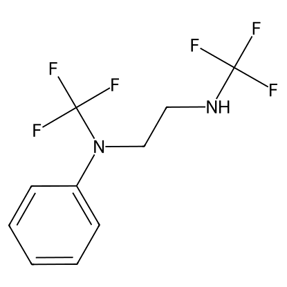 FC(F)(F)NCCN(c1ccccc1)C(F)(F)F